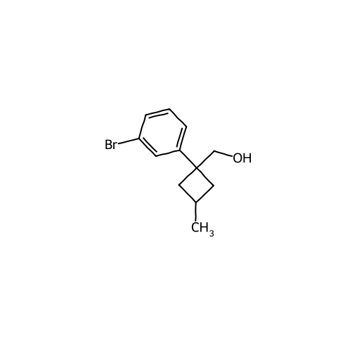 CC1CC(CO)(c2cccc(Br)c2)C1